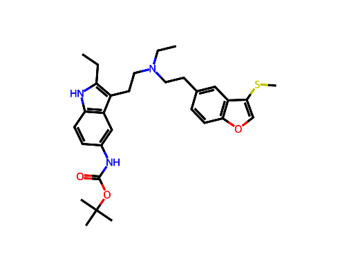 CCc1[nH]c2ccc(NC(=O)OC(C)(C)C)cc2c1CCN(CC)CCc1ccc2occ(SC)c2c1